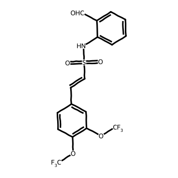 O=Cc1ccccc1NS(=O)(=O)/C=C/c1ccc(OC(F)(F)F)c(OC(F)(F)F)c1